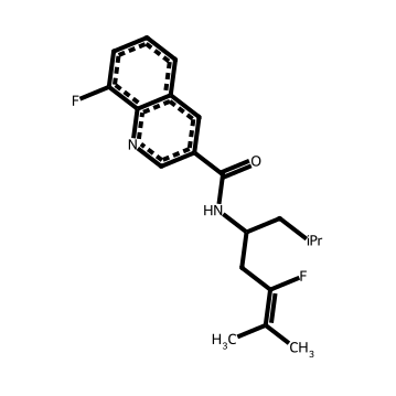 CC(C)=C(F)CC(CC(C)C)NC(=O)c1cnc2c(F)cccc2c1